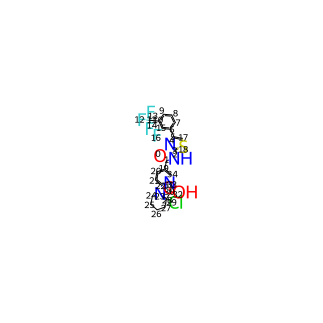 O=C(Nc1nc(-c2cccc(C(F)(F)F)c2F)cs1)c1ccc(N2CCCCC2(Cl)C(=O)O)nc1